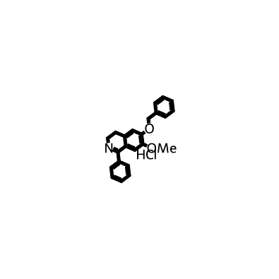 COc1cc2c(cc1OCc1ccccc1)CCN=C2c1ccccc1.Cl